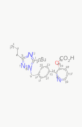 CCCCc1nc(CCC(C)C)nn1Cc1ccc(-c2ncccc2OC(=O)O)cc1